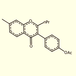 CCCc1oc2cc(C)ccc2c(=O)c1-c1ccc(OC(C)=O)cc1